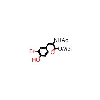 COC(=O)C(Cc1ccc(O)c(Br)c1)NC(C)=O